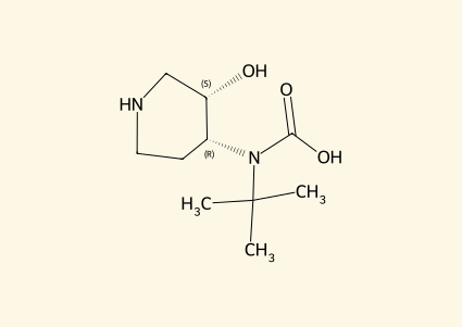 CC(C)(C)N(C(=O)O)[C@@H]1CCNC[C@@H]1O